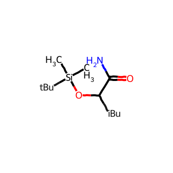 CCC(C)C(O[Si](C)(C)C(C)(C)C)C(N)=O